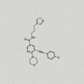 O=C(NCCCC1=CCN=C1)c1cnc(N2CCOCC2)c(C#Cc2ccc(F)cc2)c1